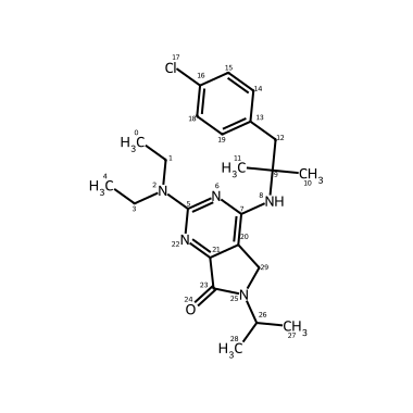 CCN(CC)c1nc(NC(C)(C)Cc2ccc(Cl)cc2)c2c(n1)C(=O)N(C(C)C)C2